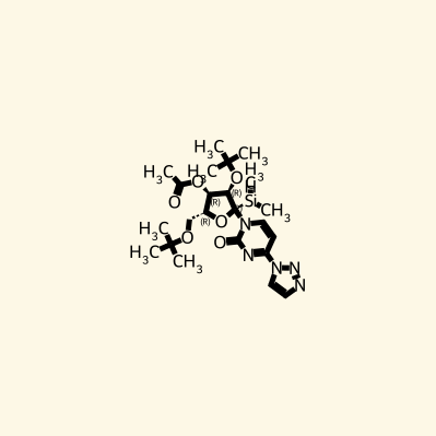 CC(=O)O[C@H]1[C@@H](OC(C)(C)C)[C@](n2ccc(-n3ccnn3)nc2=O)([SiH](C)C)O[C@@H]1COC(C)(C)C